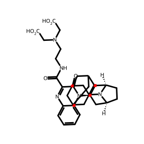 O=C(O)CN(CCNC(=O)c1nc2ccccc2n([C@H]2C[C@H]3CC[C@@H](C2)N3C23CC4CC(CC(C4)C2)C3)c1=O)CC(=O)O